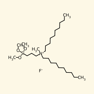 CCCCCCCCCC[N+](C)(CCCCCCCCCC)CCC[Si](OC)(OC)OC.[F-]